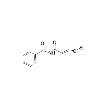 CCOC=CC(=O)NC(=O)c1ccccc1